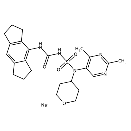 Cc1ncc(N(C2CCOCC2)S(=O)(=O)NC(=O)Nc2c3c(cc4c2CCC4)CCC3)c(C)n1.[Na]